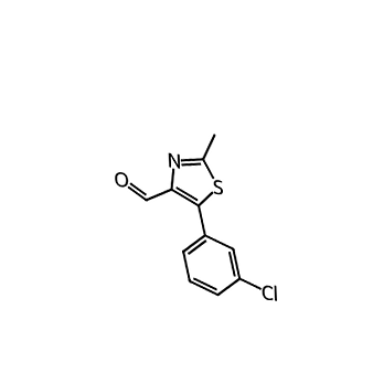 Cc1nc(C=O)c(-c2cccc(Cl)c2)s1